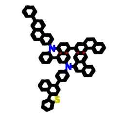 c1ccc(-c2ccc3c(ccc4cc(N(c5ccc(-c6ccc7c(ccc8ccccc87)c6)cc5)c5ccccc5-c5cccc(N(c6ccc(-c7cc8sc9ccccc9c8c8ccccc78)cc6)c6cc7ccccc7c7ccccc67)c5)ccc43)c2)cc1